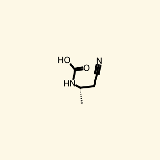 C[C@@H](CC#N)NC(=O)O